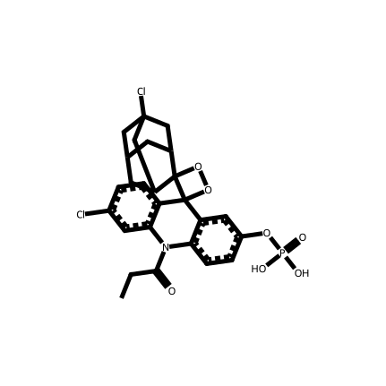 CCC(=O)N1c2cc(Cl)ccc2C2(OOC23C2CC4CC3CC(Cl)(C4)C2)c2cc(OP(=O)(O)O)ccc21